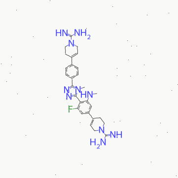 CNc1cc(C2=CCN(C(=N)N)CC2)cc(F)c1-c1nnc(-c2ccc(C3=CCN(C(=N)N)CC3)cc2)n1C